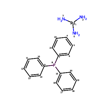 [NH2][Ru]([NH2])[NH2].c1ccc(P(c2ccccc2)c2ccccc2)cc1